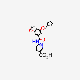 CC(C)Oc1cc(OCC2CCCC2)cc(C(=O)Nc2ccc(C(=O)O)cn2)c1